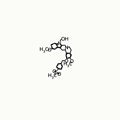 COc1ccc2c(c1)c1c(n2CO)CN2CCc3cc(OC)c(OCc4ccc(S(C)(=O)=O)cc4)cc3C2C1